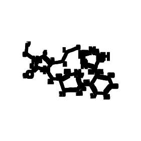 CCCc1cn(CC)c(=O)n1Cc1ccc(-c2ccccc2-c2nnn[nH]2)nc1